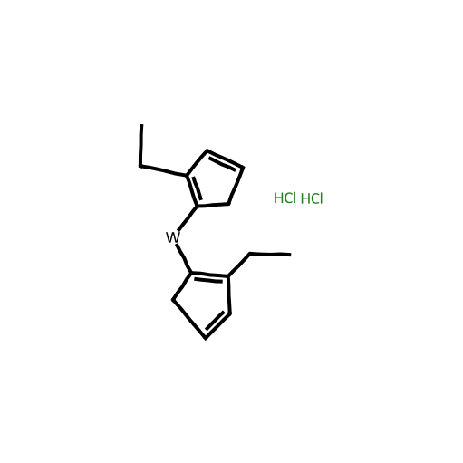 CCC1=[C]([W][C]2=C(CC)C=CC2)CC=C1.Cl.Cl